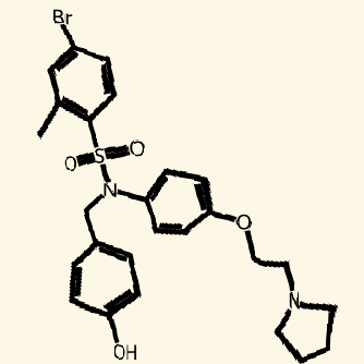 Cc1cc(Br)ccc1S(=O)(=O)N(Cc1ccc(O)cc1)c1ccc(OCCN2CCCC2)cc1